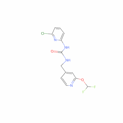 O=C(NCc1ccnc(OC(F)F)c1)Nc1cccc(Cl)n1